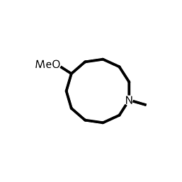 COC1CCCCCN(C)CCCC1